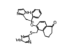 O=C1CCCc2c1ccc(O[C@@H](Cc1ncc[nH]1)c1ccccc1)c2CSc1nc[nH]n1